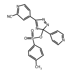 Cc1ccc(S(=O)(=O)OC2(c3ccncc3)N=NC(c3ccnc(C#N)c3)=N2)cc1